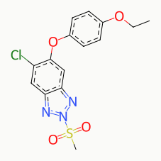 CCOc1ccc(Oc2cc3nn(S(C)(=O)=O)nc3cc2Cl)cc1